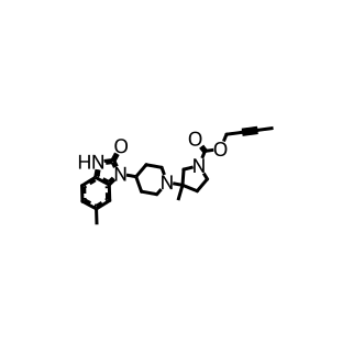 CC#CCOC(=O)N1CCC(C)(N2CCC(n3c(=O)[nH]c4ccc(C)cc43)CC2)C1